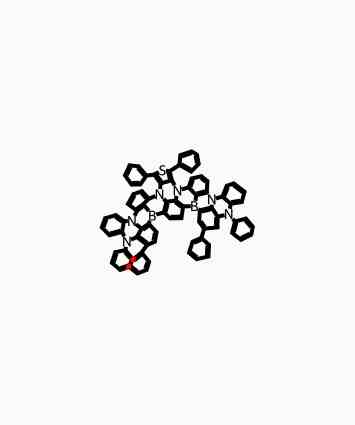 c1ccc(-c2cc3c4c(c2)N(c2ccccc2)c2ccccc2N4c2cccc4c2B3c2ccc3c5c2N4c2c(-c4ccccc4)sc(-c4ccccc4)c2N5c2cccc4c2B3c2ccc(-c3ccccc3)c3c2N4c2ccccc2N3c2ccccc2)cc1